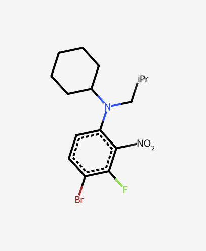 CC(C)CN(c1ccc(Br)c(F)c1[N+](=O)[O-])C1CCCCC1